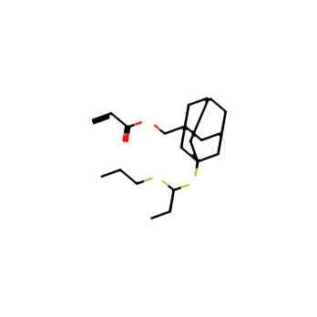 C=CC(=O)OCC12CC3CC(C1)CC(SC(CC)SCCC)(C3)C2